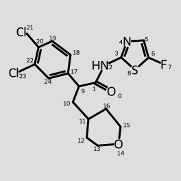 O=C(Nc1ncc(F)s1)C(CC1CCOCC1)c1ccc(Cl)c(Cl)c1